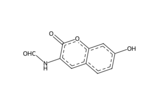 O=CNc1cc2ccc(O)cc2oc1=O